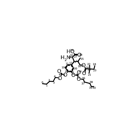 CCCCCOC(=O)Oc1ccc(C(C(C)COC(=O)C(C)(C)CC)[C@H](N)C(=O)O)cc1OC(=O)OCCCCC